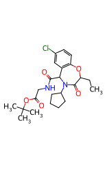 CCC1Oc2ccc(Cl)cc2C(C(=O)NCC(=O)OC(C)(C)C)N(C2CCCC2)C1=O